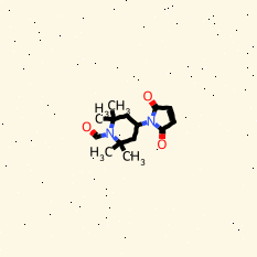 CC1(C)CC(N2C(=O)C=CC2=O)CC(C)(C)N1C=O